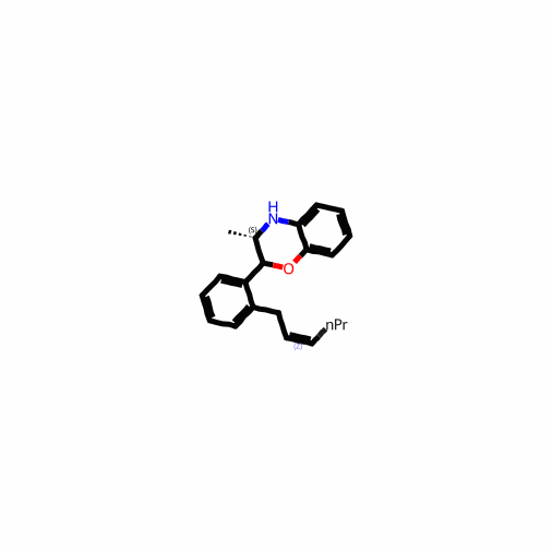 CCC/C=C\Cc1ccccc1C1Oc2ccccc2N[C@H]1C